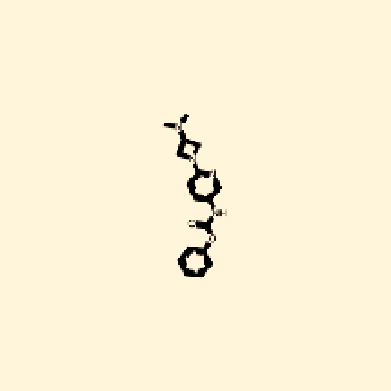 CN(C)C1CN(c2ccc(NC(=O)Oc3ccccc3)cn2)C1